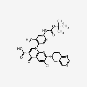 Cc1cc(NC(=O)OC(C)(C)C)ncc1-n1cc(C(=O)O)c(=O)c2cc(Cl)c(N3CCc4ncncc4C3)nc21